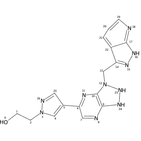 OCCn1cc(-c2cnc3c(n2)N(Cc2n[nH]c4ncccc24)NN3)cn1